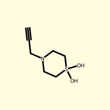 [C]#CCN1CCS(O)(O)CC1